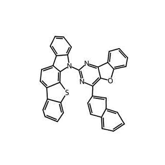 c1ccc2cc(-c3nc(-n4c5ccccc5c5ccc6c7ccccc7sc6c54)nc4c3oc3ccccc34)ccc2c1